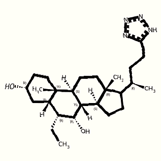 CC[C@H]1[C@@H](O)[C@@H]2[C@H](CC[C@]3(C)C([C@H](C)CCc4nnn[nH]4)CC[C@@H]23)[C@@]2(C)CC[C@@H](O)C[C@@H]12